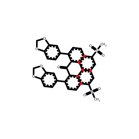 CS(=O)(=O)c1ccc(-c2cccc(-c3ccc4c(c3)OCO4)c2C(=O)c2c(-c3ccc(S(C)(=O)=O)cc3)cccc2-c2ccc3c(c2)OCO3)cc1